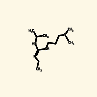 CC/N=C(\NCCCN(C)C)NC(C)C